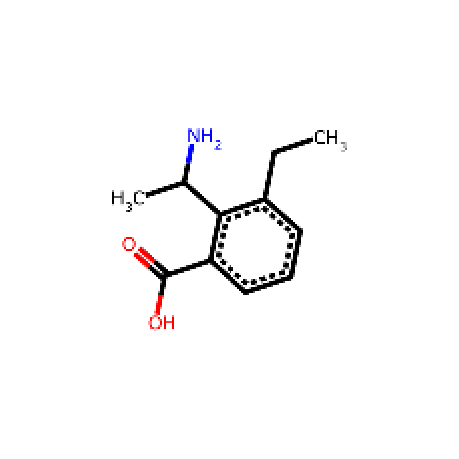 CCc1cccc(C(=O)O)c1C(C)N